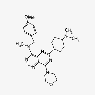 COc1ccc(CN(C)c2ncnc3c(N4CCOCC4)nc(N4CCC(N(C)C)CC4)nc23)cc1